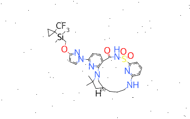 CC1(C)C[C@@H]2CCCNc3cccc(n3)S(=O)(=O)NC(=O)c3ccc(-n4ccc(OC[Si](C)(C)C5(C(F)(F)F)CC5)n4)nc3N1C2